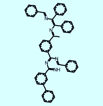 C\C(=N/C(=C(\N=C\c1ccccc1)c1ccccc1)c1ccccc1)c1cccc(C(=N/C(=N)c2cccc(-c3ccccc3)c2)/N=C/c2ccccc2)c1